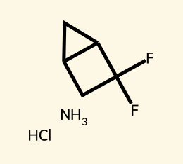 Cl.FC1(F)CC2CC21.N